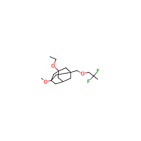 CCOC12CC3CC(COCC(C)(F)F)(CC(OC)(C3)C1)C2